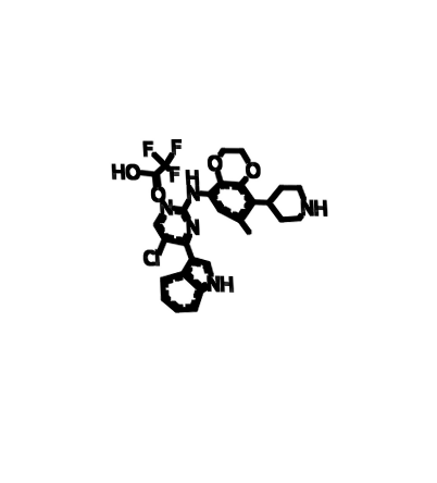 Cc1cc(Nc2ncc(Cl)c(-c3c[nH]c4ccccc34)n2)c2c(c1C1CCNCC1)OCCO2.O=C(O)C(F)(F)F